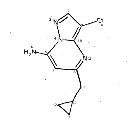 CCc1cnn2c(N)cc(CC3CC3)nc12